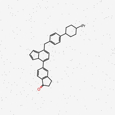 CC(C)C1CCC(c2ccc(CC3=CC=C(c4ccc5c(c4)CCC5=O)C4C=CC=C34)cc2)CC1